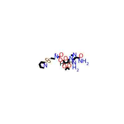 CN(CCSSc1ccccn1)C(=O)O[C@H]1O[C@@H](n2cnc(C(N)=O)c2N)[C@@H]2OC(C)(C)O[C@@H]12